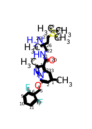 Cc1cc(OCc2c(F)cccc2F)n2nc(C)c(C(=O)NCC(C)(N)CCS(C)(C)C)c2c1